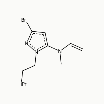 C=CN(C)c1cc(Br)nn1CCC(C)C